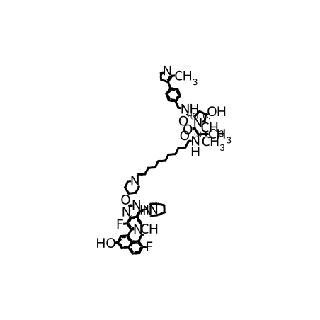 C#Cc1c(F)ccc2cc(O)cc(-c3ncc4c(N5CC6CCC(C5)N6)nc(OC5CCN(CCCCCCCCCCC(=O)N[C@H](C(=O)N6C[C@H](O)C[C@H]6C(=O)NCc6ccc(C7=C(C)N=CC7)cc6)C(C)(C)C)CC5)nc4c3F)c12